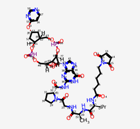 CC(C)[C@H](NC(=O)CCCCCN1C(=O)C=CC1=O)C(=O)N[C@@H](C)C(=O)NCC(=O)N1CCC[C@@H]1C(=O)Nc1nc2c(ncn2[C@@H]2O[C@@H]3CO[PH](=O)O[C@H]4C[C@H](Oc5ccncn5)C[C@@H]4CO[PH](=O)O[C@@H]2[C@@H]3O)c(=O)[nH]1